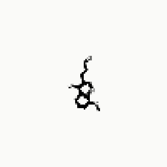 COc1cccc2c(Cl)c(CCCCl)cnc12